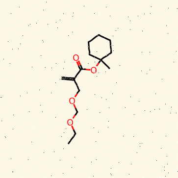 C=C(COCOCC)C(=O)OC1(C)CCCCC1